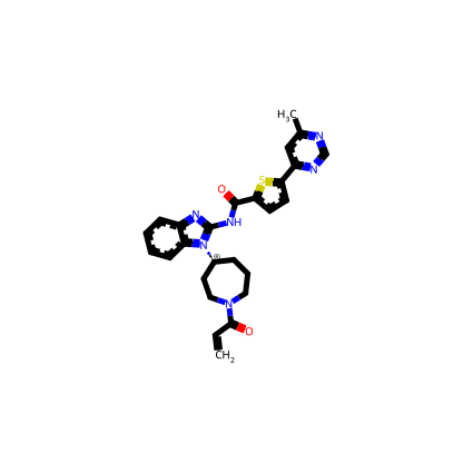 C=CC(=O)N1CCC[C@@H](n2c(NC(=O)c3ccc(-c4cc(C)ncn4)s3)nc3ccccc32)CC1